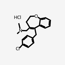 CN(C)CC1=C(Cc2ccc(Cl)cc2)c2ccccc2OCC1.Cl